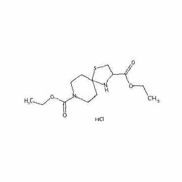 CCOC(=O)C1CSC2(CCN(C(=O)OCC)CC2)N1.Cl